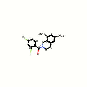 COc1cc2c(c(OC)c1)CN(C(=O)c1ccc(F)cc1F)CC2